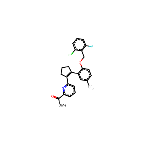 COC(=O)c1cccc(C2=C(c3cc(C(F)(F)F)ccc3OCc3c(F)cccc3Cl)CCC2)n1